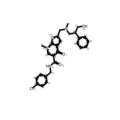 CN(Cc1cc2c(=O)c(C(=O)NCc3ccc(Cl)cc3)cn(C)c2o1)CC(CO)c1ccccc1